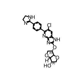 O[C@@H]1COC2[C@H](Oc3nc4nc(-c5ccc(C6=NCCN6)cc5)c(Cl)cc4[nH]3)CO[C@@H]21